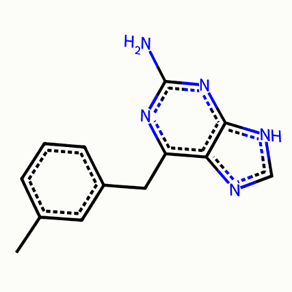 Cc1cccc(Cc2nc(N)nc3[nH]cnc23)c1